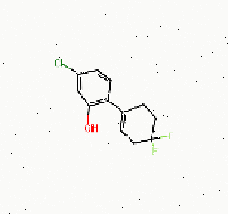 Oc1cc(Cl)ccc1C1=CCC(F)(F)CC1